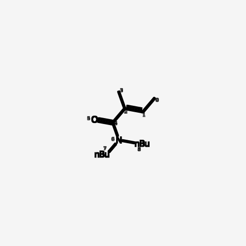 CC=C(C)C(=O)N(CCCC)CCCC